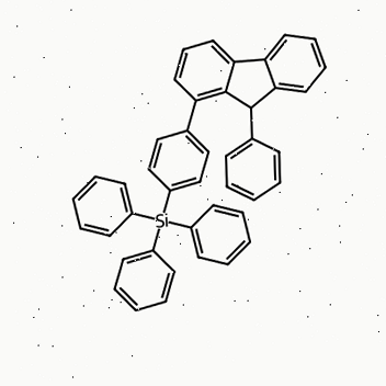 c1ccc(C2c3ccccc3-c3cccc(-c4ccc([Si](c5ccccc5)(c5ccccc5)c5ccccc5)cc4)c32)cc1